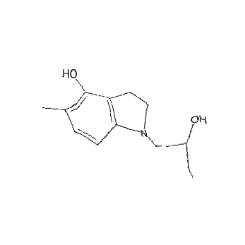 Cc1ccc2c(c1O)CCN2CC(C)O